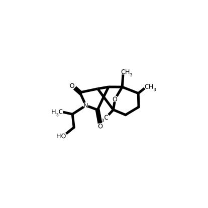 CC(CO)N1C(=O)C2C3C4(C)OC(C)(CCC4C)C23C1=O